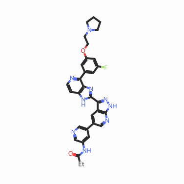 CCC(=O)Nc1cncc(-c2cnc3[nH]nc(-c4nc5c(-c6cc(F)cc(OCCN7CCCC7)c6)nccc5[nH]4)c3c2)c1